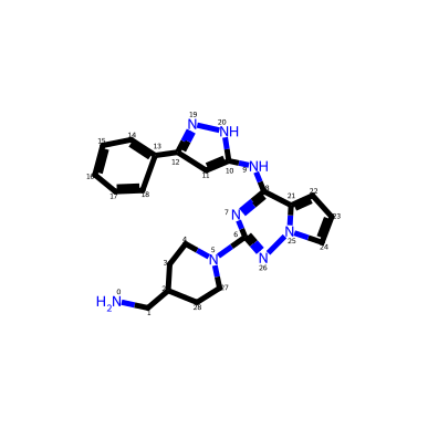 NCC1CCN(c2nc(Nc3cc(-c4ccccc4)n[nH]3)c3cccn3n2)CC1